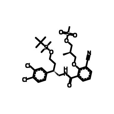 C[C@H](COc1c(C#N)cccc1C(=O)NC[C@@H](CCO[Si](C)(C)C(C)(C)C)c1ccc(Cl)c(Cl)c1)COS(C)(=O)=O